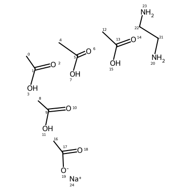 CC(=O)O.CC(=O)O.CC(=O)O.CC(=O)O.CC(=O)[O-].NCCN.[Na+]